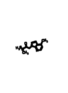 Cc1ccnc2c1ccn2CC(=O)N(C)C